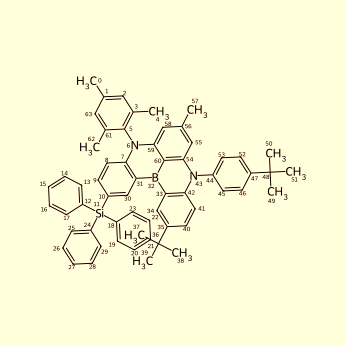 Cc1cc(C)c(N2c3ccc([Si](c4ccccc4)(c4ccccc4)c4ccccc4)cc3B3c4cc(C(C)(C)C)ccc4N(c4ccc(C(C)(C)C)cc4)c4cc(C)cc2c43)c(C)c1